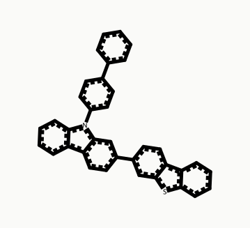 c1ccc(-c2ccc(-n3c4ccccc4c4ccc(-c5ccc6c(c5)sc5ccccc56)cc43)cc2)cc1